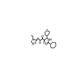 CCN1C[C@@H](C)S/C1=N\NC(=O)C(=O)C(NC(=O)C1CCCCCC1)C1CCOCC1